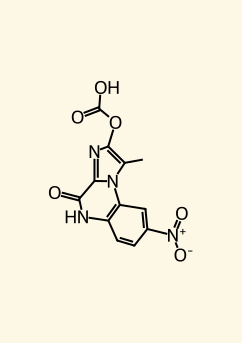 Cc1c(OC(=O)O)nc2c(=O)[nH]c3ccc([N+](=O)[O-])cc3n12